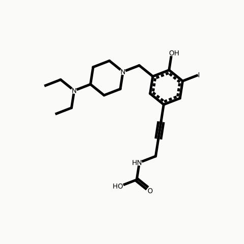 CCN(CC)C1CCN(Cc2cc(C#CCNC(=O)O)cc(I)c2O)CC1